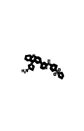 N[C@H]1CCN(c2c3c(nc4ccc(-c5ccnc(Nc6ccc(S(=O)(=O)N7CCCC7)cc6)c5)cc24)CCCC3)C1